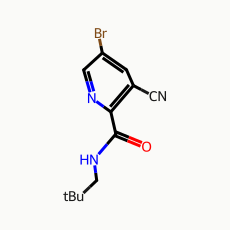 CC(C)(C)CNC(=O)c1ncc(Br)cc1C#N